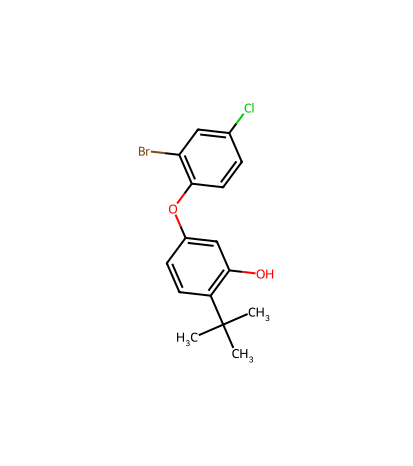 CC(C)(C)c1ccc(Oc2ccc(Cl)cc2Br)cc1O